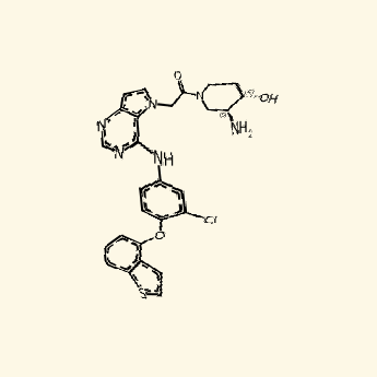 N[C@H]1CN(C(=O)Cn2ccc3ncnc(Nc4ccc(Oc5cccc6sccc56)c(Cl)c4)c32)CC[C@@H]1O